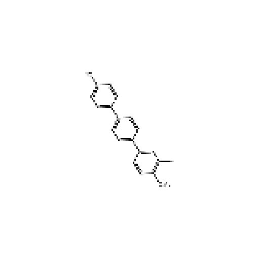 COc1ccc(-c2ccc(-c3ccc(C#N)cc3)cc2)cc1F